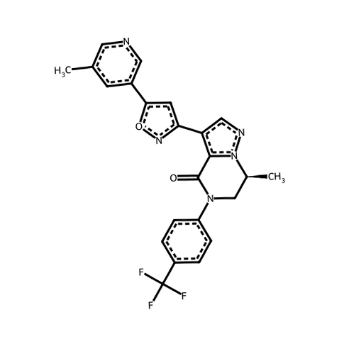 Cc1cncc(-c2cc(-c3cnn4c3C(=O)N(c3ccc(C(F)(F)F)cc3)C[C@@H]4C)no2)c1